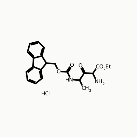 CCOC(=O)C(N)C(=O)C(C)NC(=O)OCC1c2ccccc2-c2ccccc21.Cl